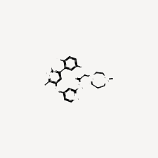 Cc1nnc(-c2cc(Cl)ccc2F)cc1Nc1ccnc(NC(=O)CN2CCCN(C)CC2)c1